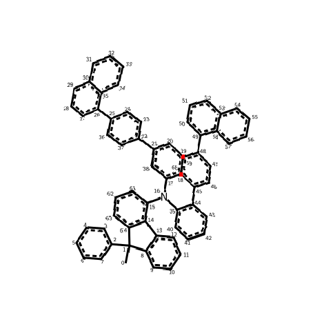 CC1(c2ccccc2)c2ccccc2-c2c(N(c3cccc(-c4ccc(-c5cccc6ccccc56)cc4)c3)c3ccccc3-c3ccc(-c4cccc5ccccc45)cc3)cccc21